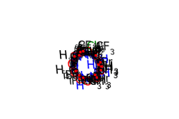 CC[C@H](C)[C@@H]1NC(=O)[C@H](CC(C)C)N(C)C(=O)C[C@@H](C)N(C)C(=O)[C@H](CC(C)C)NC(=O)C(C)(C)N(C)C(=O)[C@H](CC(C)C)NC(=O)[C@H](CCc2ccc(C(F)(F)F)c(Cl)c2)NC(=O)[C@@H](C)N(C)C(=O)[C@H](Cc2ccc(C(F)(F)F)cc2)N(C)C(=O)[C@@H]2CCN2C(=O)CN(C)C1=O